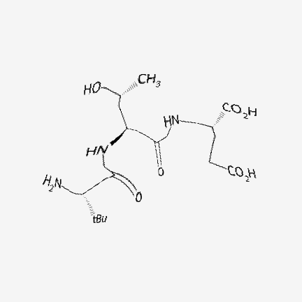 C[C@@H](O)[C@H](NC(=O)[C@@H](N)C(C)(C)C)C(=O)N[C@@H](CC(=O)O)C(=O)O